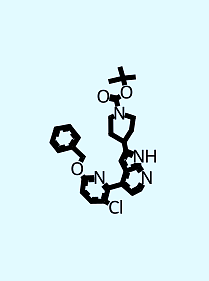 CC(C)(C)OC(=O)N1CCC(c2cc3c(-c4nc(OCc5ccccc5)ccc4Cl)ccnc3[nH]2)CC1